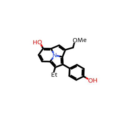 CCc1c(-c2ccc(O)cc2)c2c(COC)cc3c(O)ccc1n32